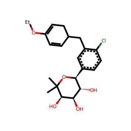 CCOC1=CCC(Cc2cc([C@@H]3OC(C)(C)[C@H](O)[C@H](O)[C@H]3O)ccc2Cl)C=C1